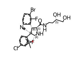 CC(C)(C)C[C@H]1N[C@H](C(=O)NCC[C@H](O)CO)[C@@H](c2cccc(Br)c2F)[C@]1(C#N)c1ccc(Cl)cc1F